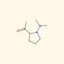 CC(=O)C1CCCN1N(C)C